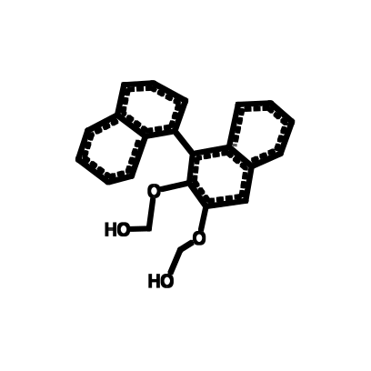 OCOc1cc2ccccc2c(-c2cccc3ccccc23)c1OCO